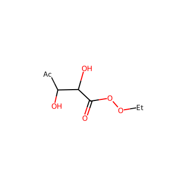 CCOOC(=O)C(O)C(O)C(C)=O